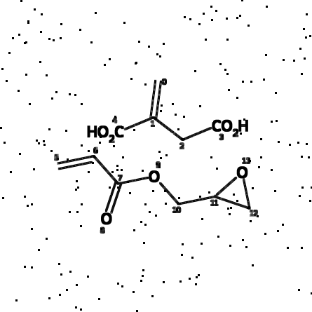 C=C(CC(=O)O)C(=O)O.C=CC(=O)OCC1CO1